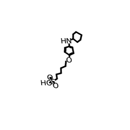 O=S(=O)(O)CCCCCCOc1ccc(NC2CCCCC2)cc1